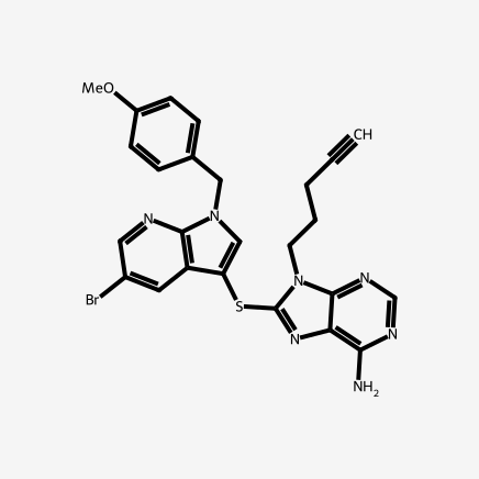 C#CCCCn1c(Sc2cn(Cc3ccc(OC)cc3)c3ncc(Br)cc23)nc2c(N)ncnc21